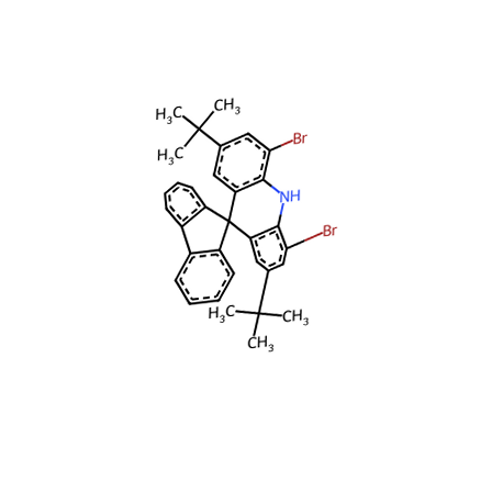 CC(C)(C)c1cc(Br)c2c(c1)C1(c3ccccc3-c3ccccc31)c1cc(C(C)(C)C)cc(Br)c1N2